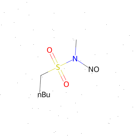 CCCCCS(=O)(=O)N(C)N=O